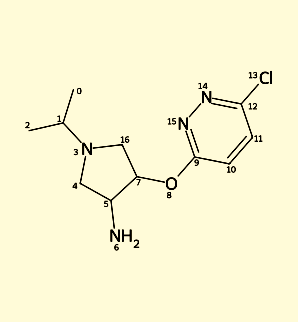 CC(C)N1CC(N)C(Oc2ccc(Cl)nn2)C1